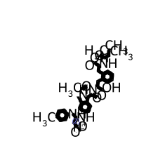 CC(=O)N1Cc2cc(N/C(=C\[N+](=O)[O-])Nc3ccc(C)cc3)ccc2C1C(=O)NC(Cc1ccccc1CC(NC(=O)CC(C)(C)C)C(=O)O)C(=O)O